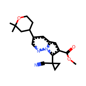 COC(=O)c1cc2cc(C3CCOC(C)(C)C3)cnn2c1C1(C#N)CC1